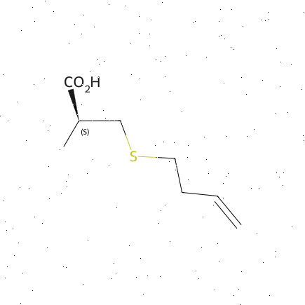 C=CCCSC[C@@H](C)C(=O)O